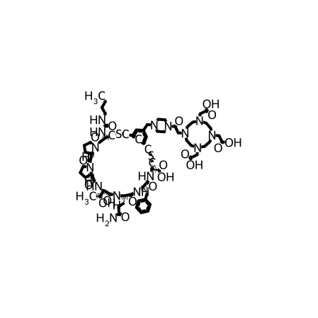 CCCCNC(=O)N[C@H]1CSCc2cc(cc(CN3CCN(C(=O)CN4CCN(CC(=O)O)CCN(CC(=O)O)CCN(CC(=O)O)CC4)CC3)c2)CSC[C@@H](C(=O)O)NC(=O)[C@H](Cc2ccccc2)NC(=O)[C@H](CCC(N)=O)NC(=O)[C@H]([C@@H](C)O)NC(=O)[C@@H]2CCCN2C(=O)[C@@H]2CCCN2C1=O